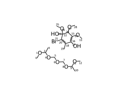 COC(C)OCOCOC(C)OC.COC1=C(O)C(C)=C(Br)C(O)(OC)C1OC